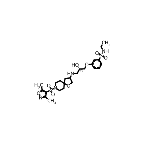 CCNS(=O)(=O)c1cccc(OC[C@@H](O)CNC2COC3(CCN(S(=O)(=O)c4c(C)noc4C)CC3)C2)c1